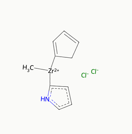 [CH3][Zr+2]([C]1=CC=CC1)[c]1ccc[nH]1.[Cl-].[Cl-]